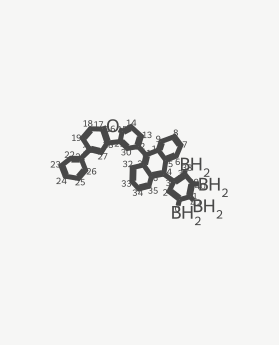 Bc1cc(-c2c3ccccc3c(-c3ccc4oc5ccc(-c6ccccc6)cc5c4c3)c3ccccc23)c(B)c(B)c1B